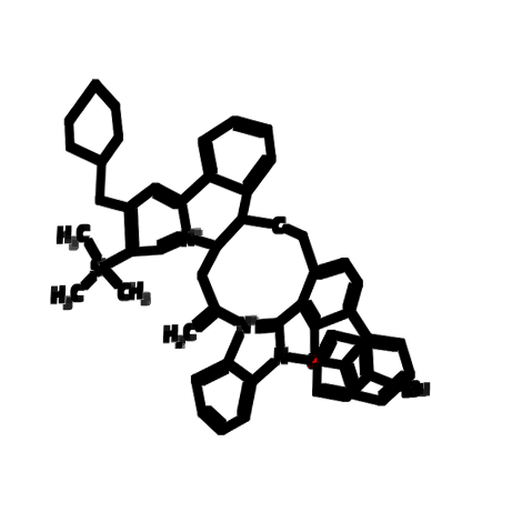 C=C1CC2C(CCc3ccc4c(oc5ccccc54)c3-c3n(-c4ccc(C(C)(C)C)cc4)c4ccccc4[n+]31)c1ccccc1-c1cc(CC3CCCCC3)c([Si](C)(C)C)c[n+]12